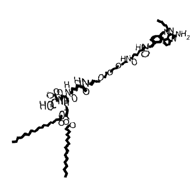 CCCCCCCCCCCCCCCC(=O)OC[C@H](CSCC(NC(=O)CCCC(=O)NCCCOCCOCCOCCCNC(=O)CCCC(=O)NCc1ccc(Cn2c(CCCC)nc3c(N)nc4ccccc4c32)cc1)C(=O)N[C@@H](CO)C(=O)OC)OC(=O)CCCCCCCCCCCCCCC